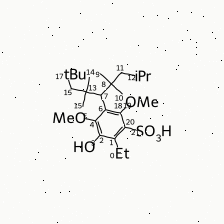 CCc1c(O)c(OC)c(C(C(C)(C)CC(C)C)C(C)(C)CC(C)(C)C)c(OC)c1S(=O)(=O)O